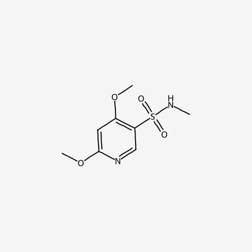 CNS(=O)(=O)c1cnc(OC)cc1OC